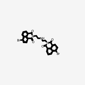 O=C1c2cccc3c(Br)ccc(c23)C(=O)N1CCNCCN1C(=O)c2cccc3c(Br)ccc(c23)C1=O